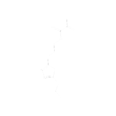 C=C(C)C(=O)OCCSc1nnc(SCC)s1